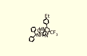 CCc1ccc(C2CC(C(F)(F)F)n3ncc(C(=O)NC(c4ccccc4)c4ccccc4)c3N2)cc1